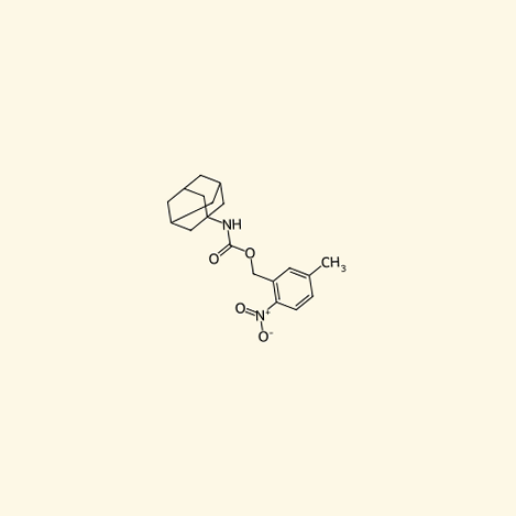 Cc1ccc([N+](=O)[O-])c(COC(=O)NC23CC4CC(CC(C4)C2)C3)c1